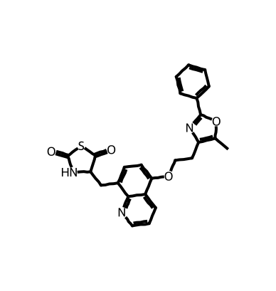 Cc1oc(-c2ccccc2)nc1CCOc1ccc(CC2NC(=O)SC2=O)c2ncccc12